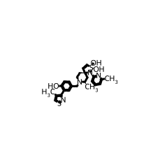 Cc1cccc(N2[C@]3(C=CS2(O)O)CCN(Cc2ccc(O)c(-c4nscc4C)c2)[C@@H](C)C3)n1